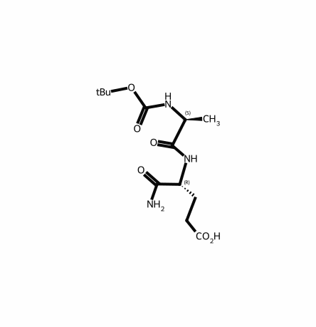 C[C@H](NC(=O)OC(C)(C)C)C(=O)N[C@H](CCC(=O)O)C(N)=O